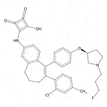 Cc1ccc(C2=C(c3ccc(O[C@H]4CCN(CCCF)C4)cc3)c3ccc(Nc4c(O)c(=O)c4=O)cc3CCC2)c(Cl)c1